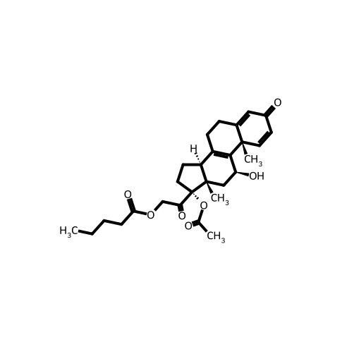 CCCCC(=O)OCC(=O)[C@@]1(OC(C)=O)CC[C@H]2C3=C([C@@H](O)C[C@@]21C)[C@@]1(C)C=CC(=O)C=C1CC3